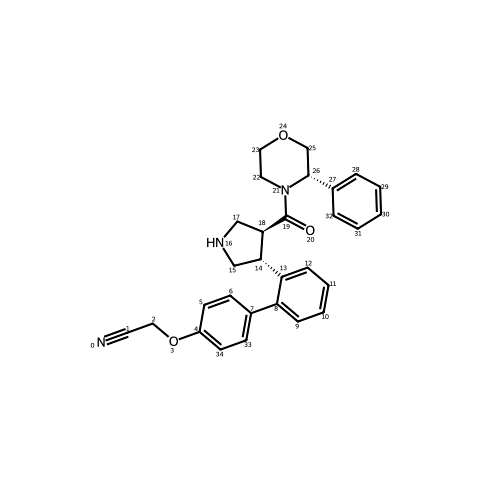 N#CCOc1ccc(-c2ccccc2[C@@H]2CNC[C@H]2C(=O)N2CCOC[C@@H]2c2ccccc2)cc1